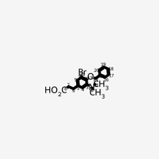 CN(C)c1cc(CCC(=O)O)cc(Br)c1OCc1ccccc1